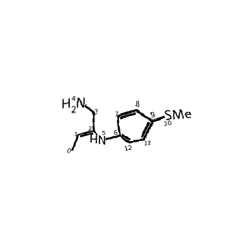 C/C=C(/CN)Nc1ccc(SC)cc1